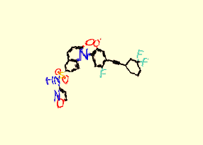 COc1cc(C#CC2CCCC(F)(F)C2)c(F)cc1-n1c(=O)ccc2cc(S(=O)(=O)Nc3ccon3)ccc21